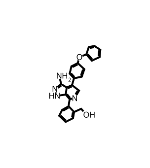 Nc1n[nH]c2c(-c3ccccc3CO)ncc(-c3ccc(Oc4ccccc4)cc3)c12